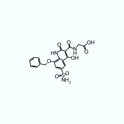 NS(=O)(=O)c1cc(OCc2ccccc2)c2[nH]c(=O)c(C(=O)NCC(=O)O)c(O)c2c1